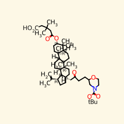 C=C(C)[C@@H]1CC[C@]2(CC(=O)CCC3CN(C(=O)OC(C)(C)C)CCO3)CC[C@]3(C)[C@H](CC[C@@H]4[C@@]5(C)CC[C@H](OC(=O)CC(C)(C)CC(=O)O)C(C)(C)[C@@H]5CC[C@]43C)[C@@H]12